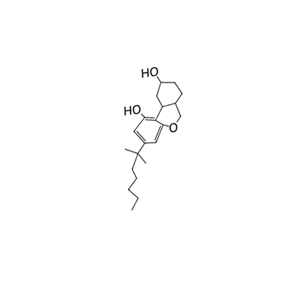 CCCCCC(C)(C)c1cc(O)c2c(c1)OCC1CCC(O)CC21